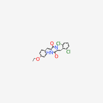 CCOc1ccc(/C=c2\[nH]c(=O)/c(=C/c3c(Cl)cccc3Cl)n(C)c2=O)cc1